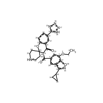 CCOc1cc(C(=O)[C@@H]2C(=O)c3cc(-c4nnn[nH]4)ccc3OC23CCNCC3)cc2c(C3CC3)noc12